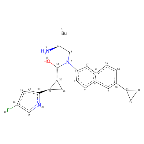 CC[C@H](C)[C@H](N)CN(c1ccc2cc(C3CC3)ccc2c1)C(O)[C@@H]1C[C@H]1c1ccc(F)cn1